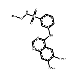 CCC(C)ONS(=O)(=O)c1cccc(Nc2ncnc3cc(OC)c(OC)cc23)c1